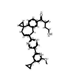 COc1cc(C2CC2)cc(-c2cnc(C3=CCC4(CC4)c4ccc(C(=O)C(C)CCO)cc4C3)nc2)n1